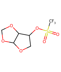 O=S(=O)(OC1COC2OCOC12)C(F)(F)F